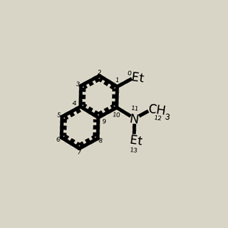 CCc1ccc2ccccc2c1N(C)CC